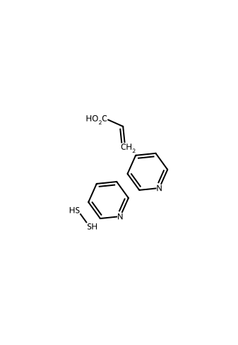 C=CC(=O)O.SS.c1ccncc1.c1ccncc1